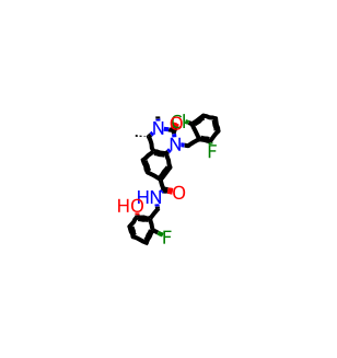 C[C@H]1c2ccc(C(=O)NCc3c(O)cccc3F)cc2N(Cc2c(F)cccc2Cl)C(=O)N1C